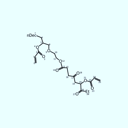 C=CC(=O)OC(CCCCCCCCCCC)COCCOC(=O)CCC(=O)CC(OC(=O)C=C)C(=O)CC